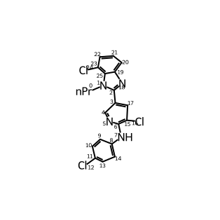 CCCn1c(-c2cnc(Nc3ccc(Cl)cc3)c(Cl)c2)nc2cccc(Cl)c21